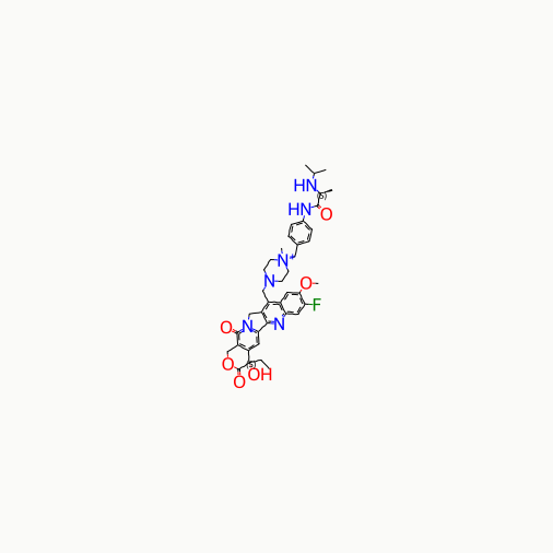 CC[C@@]1(O)C(=O)OCc2c1cc1n(c2=O)Cc2c-1nc1cc(F)c(OC)cc1c2CN1CC[N+](C)(Cc2ccc(NC(=O)[C@H](C)NC(C)C)cc2)CC1